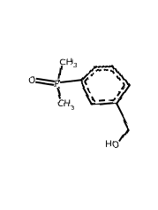 CP(C)(=O)c1cccc(CO)c1